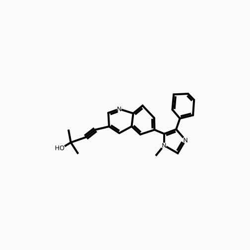 Cn1cnc(-c2ccccc2)c1-c1ccc2ncc(C#CC(C)(C)O)cc2c1